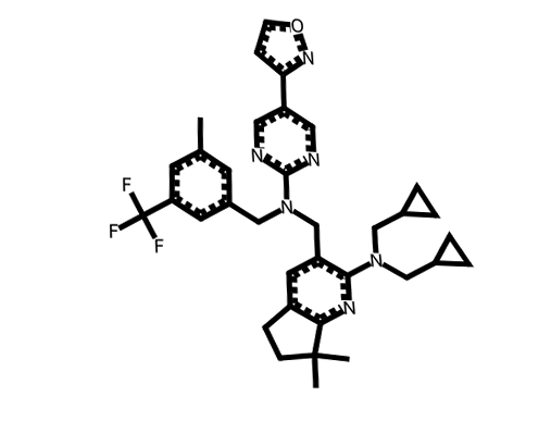 Cc1cc(CN(Cc2cc3c(nc2N(CC2CC2)CC2CC2)C(C)(C)CC3)c2ncc(-c3ccon3)cn2)cc(C(F)(F)F)c1